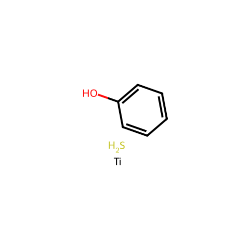 Oc1ccccc1.S.[Ti]